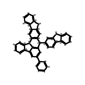 c1ccc(-c2cc3c4c(c2)N(c2ccc5c(c2)sc2ccccc25)c2cc5sc6ccccc6c5cc2B4c2ccccc2-3)cc1